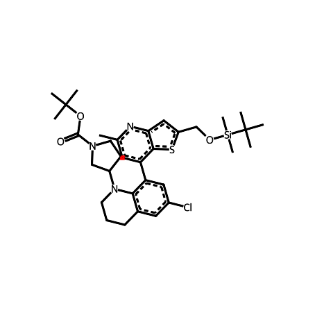 Cc1cc(-c2cc(Cl)cc3c2N(C2CCN(C(=O)OC(C)(C)C)C2)CCC3)c2sc(CO[Si](C)(C)C(C)(C)C)cc2n1